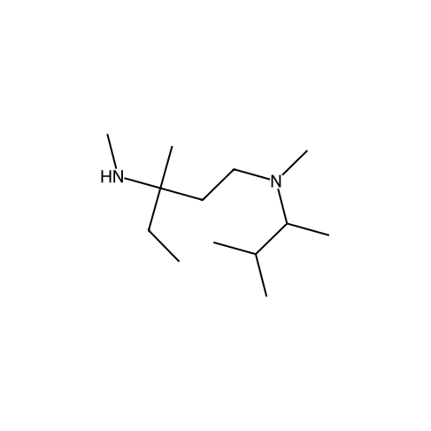 CCC(C)(CCN(C)C(C)C(C)C)NC